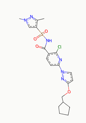 Cc1nn(C)cc1S(=O)(=O)NC(=O)c1ccc(-n2ccc(OCC3CCCC3)n2)nc1Cl